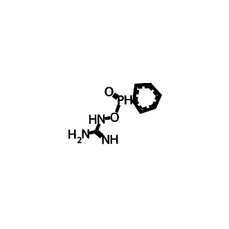 N=C(N)NO[PH](=O)c1ccccc1